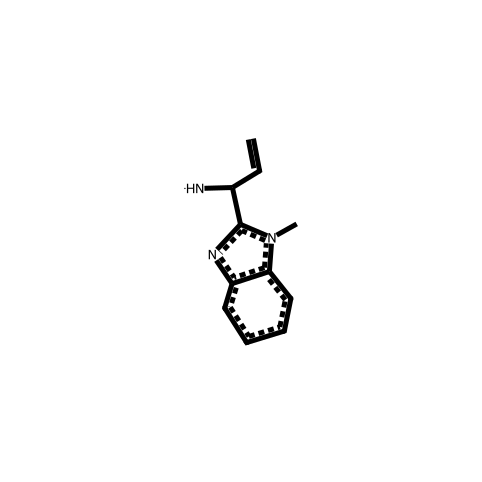 C=CC([NH])c1nc2ccccc2n1C